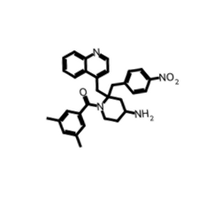 Cc1cc(C)cc(C(=O)N2CCC(N)CC2(Cc2ccc([N+](=O)[O-])cc2)Cc2ccnc3ccccc23)c1